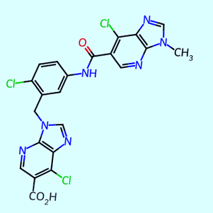 Cn1cnc2c(Cl)c(C(=O)Nc3ccc(Cl)c(Cn4cnc5c(Cl)c(C(=O)O)cnc54)c3)cnc21